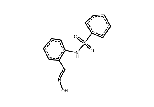 O=S(=O)(Nc1ccccc1/C=N/O)c1cc[c]cc1